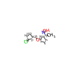 CC(=NO)c1cccc(OCc2cccc(Cl)c2)c1